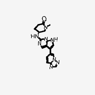 CN1C[C@@H](Nc2ncc3c(-c4ccc5ncnn5c4)c[nH]c3n2)CCC1=O